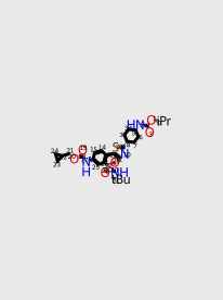 CC(C)OC(=O)N[C@H]1CC[C@H](c2ncc(-c3ccc(NC(=O)OCC4CC4)cc3S(=O)(=O)NC(C)(C)C)s2)CC1